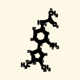 CC(=O)Nc1cc(N)c(-c2cc(C)n(C)n2)cn1